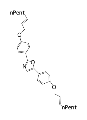 CCCCCC=CCOc1ccc(-c2cnc(-c3ccc(OCC=CCCCCC)cc3)o2)cc1